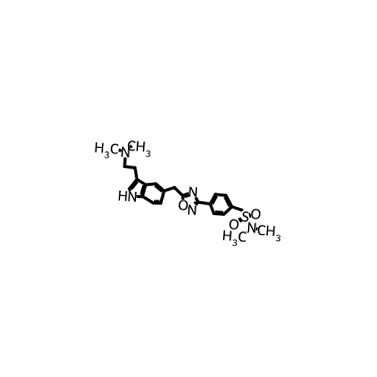 CN(C)CCc1c[nH]c2ccc(Cc3nc(-c4ccc(CS(=O)(=O)N(C)C)cc4)no3)cc12